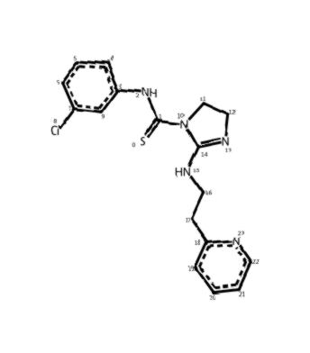 S=C(Nc1cccc(Cl)c1)N1CCN=C1NCCc1ccccn1